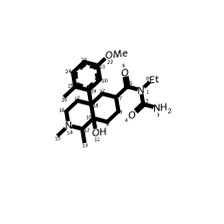 CCN(C(N)=O)C(=O)C1CCC2(O)C(C)N(C)CCC2(c2cc(OC)ccc2C)C1